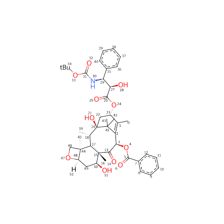 CC1=C2[C@@H](OC(=O)c3ccccc3)C(=O)[C@@]3(C)C([C@H](C)[C@](O)(C[C@@H]1OC(=O)[C@H](O)[C@@H](NC(=O)OC(C)(C)C)c1ccccc1)C2(C)C)[C@]1(C)CO[C@@H]1C[C@@H]3O